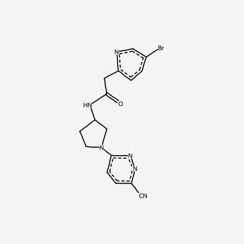 N#Cc1ccc(N2CCC(NC(=O)Cc3ccc(Br)cn3)C2)nn1